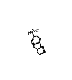 CC(=O)N(I)c1ccc2c(c1)Cc1ccccc1-2